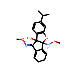 CO/N=C1/C2=CCCC=C2C2(NOC)Oc3cc(C(C)C)ccc3C12O